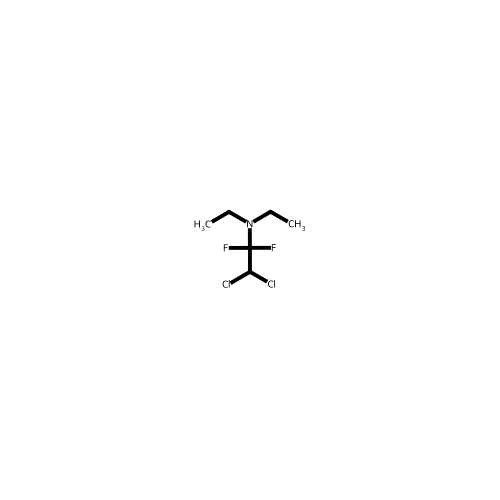 CCN(CC)C(F)(F)C(Cl)Cl